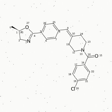 C[C@@H]1CN=C(c2ccc(C=C3CCN(C(=O)c4ccc(Cl)cc4)CC3)cc2)O1